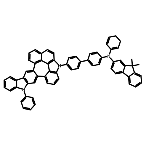 CC1(C)c2ccccc2-c2ccc(N(C3=CCCC=C3)c3ccc(-c4ccc(-n5c6cccc7c6c6c8c(cccc8ccc65)-c5cc6c8ccccc8n(-c8ccccc8)c6cc5-7)cc4)cc3)cc21